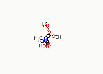 CCOCc1cc2c(cc1OCCCOC)C[C@@H](C(C)C)n1cc(C(=O)O)c(=O)cc1-2